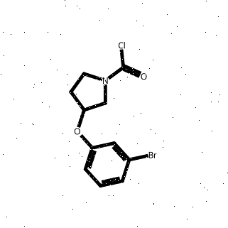 O=C(Cl)N1CCC(Oc2cccc(Br)c2)C1